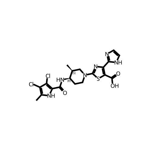 Cc1[nH]c(C(=O)N[C@@H]2CCN(c3nc(-c4ncc[nH]4)c(C(=O)O)s3)C[C@@H]2C)c(Cl)c1Cl